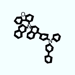 c1ccc(-c2ccc(N(c3ccccc3)c3ccc(-c4ccc(N(c5ccc6ccccc6c5)c5cccc6oc7ccccc7c56)c5ccccc45)cc3)cc2)cc1